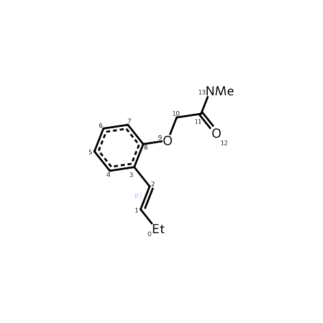 CC/C=C/c1ccccc1OCC(=O)NC